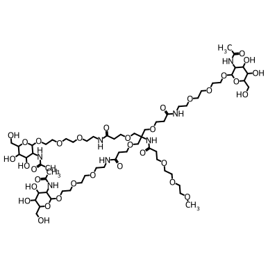 COCCOCCOCCC(=O)NC(COCCC(=O)NCCOCCOCCOC1OC(CO)C(O)C(O)C1NC(C)=O)(COCCC(=O)NCCOCCOCCOC1OC(CO)C(O)C(O)C1NC(C)=O)COCCC(=O)NCCOCCOCCOC1OC(CO)C(O)C(O)C1NC(C)=O